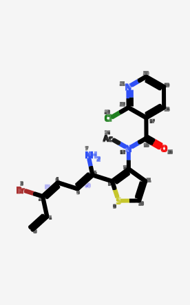 C=C/C(Br)=C\C=C(/N)c1sccc1N(C(C)=O)C(=O)c1cccnc1Cl